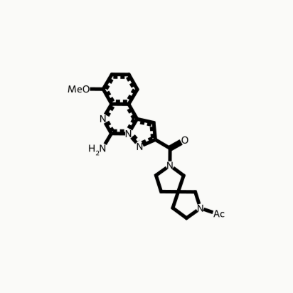 COc1cccc2c1nc(N)n1nc(C(=O)N3CCC4(CCN(C(C)=O)C4)C3)cc21